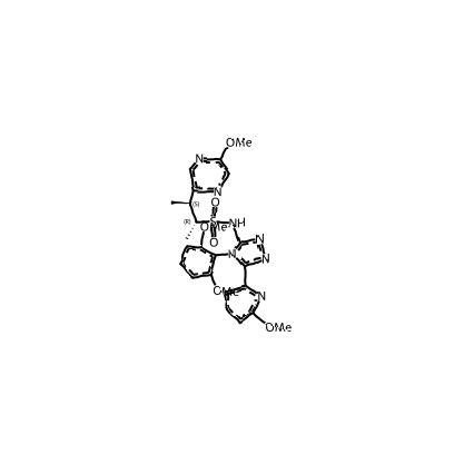 COc1cnc([C@H](C)[C@@H](C)S(=O)(=O)Nc2nnc(-c3cccc(OC)n3)n2-c2c(OC)cccc2OC)cn1